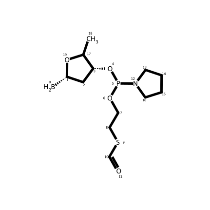 B[C@H]1C[C@@H](OP(OCCSC=O)N2CCCC2)C(C)O1